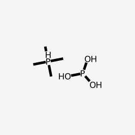 C[PH](C)(C)C.OP(O)O